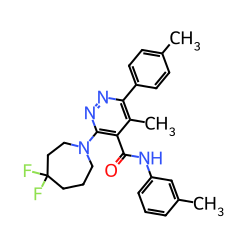 Cc1ccc(-c2nnc(N3CCCC(F)(F)CC3)c(C(=O)Nc3cccc(C)c3)c2C)cc1